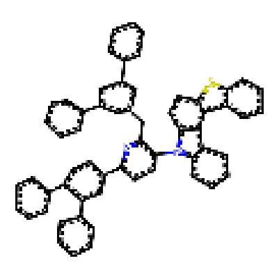 c1ccc(-c2cc(Cc3nc(-c4ccc(-c5ccccc5)c(-c5ccccc5)c4)ccc3-n3c4ccccc4c4c5c(ccc43)sc3ccccc35)cc(-c3ccccc3)c2)cc1